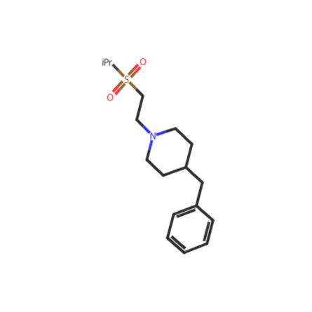 CC(C)S(=O)(=O)CCN1CCC(Cc2ccccc2)CC1